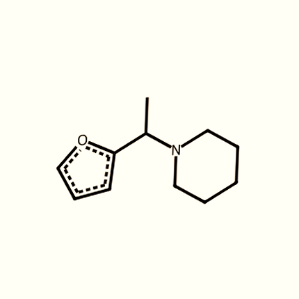 CC(c1ccco1)N1CCCCC1